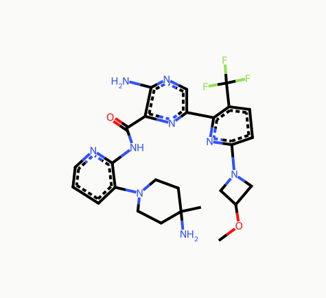 COC1CN(c2ccc(C(F)(F)F)c(-c3cnc(N)c(C(=O)Nc4ncccc4N4CCC(C)(N)CC4)n3)n2)C1